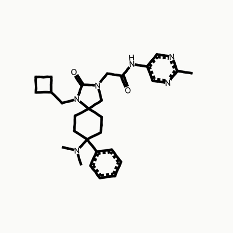 Cc1ncc(NC(=O)CN2CC3(CCC(c4ccccc4)(N(C)C)CC3)N(CC3CCC3)C2=O)cn1